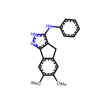 COc1cc2c(cc1OC)-c1n[nH]c(Nc3ccccc3)c1C2